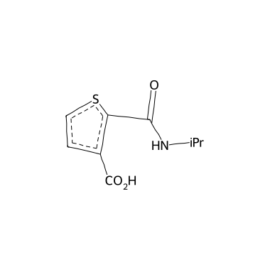 CC(C)NC(=O)c1sccc1C(=O)O